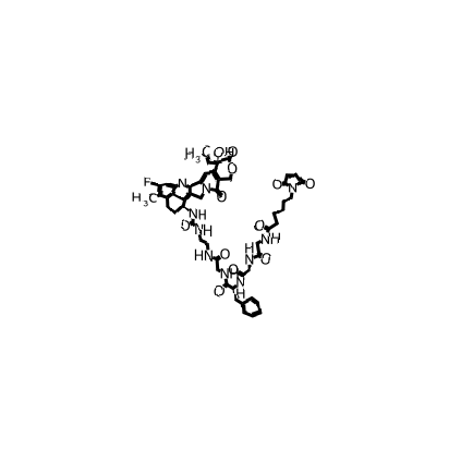 CC[C@@]1(O)C(=O)OCc2c1cc1n(c2=O)Cc2c-1nc1cc(F)c(C)c3c1c2[C@@H](NC(=O)NCCNC(=O)CNC(=O)[C@H](Cc1ccccc1)NC(=O)CNC(=O)CNC(=O)CCCCCN1C(=O)C=CC1=O)CC3